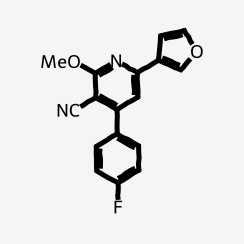 COc1nc(-c2ccoc2)cc(-c2ccc(F)cc2)c1C#N